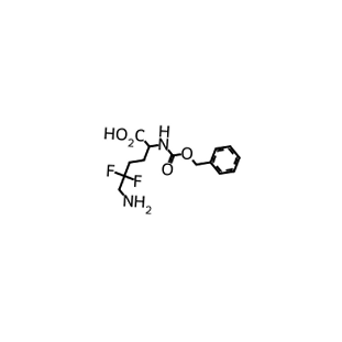 NCC(F)(F)CCC(NC(=O)OCc1ccccc1)C(=O)O